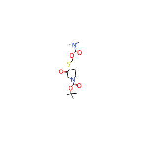 CN(C)C(=O)OCSC1CCN(C(=O)OC(C)(C)C)CC1=O